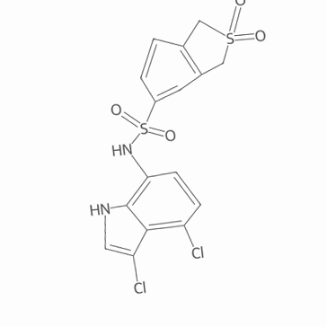 O=S1(=O)Cc2ccc(S(=O)(=O)Nc3ccc(Cl)c4c(Cl)c[nH]c34)cc2C1